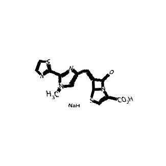 Cn1cc(/C=C2/C(=O)N3C(C(=O)O)=CSC23)nc1-c1nccs1.[NaH]